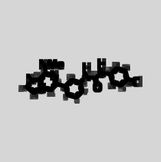 CNc1nc(-c2cccc(NC(=O)Nc3ccc(Cl)cc3)c2)cn2ccnc12